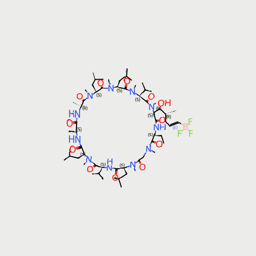 CC[C@@H]1NC(=O)[C@H]([C@H](O)[C@H](C)C/C=C/[B-](F)(F)F)N(C)C(=O)[C@H](C(C)C)N(C)C(=O)[C@H](CC(C)C)N(C)C(=O)[C@H](CC(C)C)N(C)C(=O)[C@@H](C)NC(=O)[C@H](C)NC(=O)[C@H](CC(C)C)N(C)C(=O)[C@H](C(C)C)NC(=O)[C@H](CC(C)C)N(C)C(=O)CN(C)C1=O